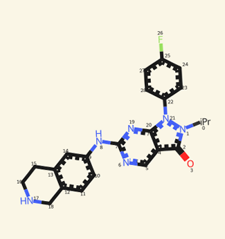 CC(C)n1c(=O)c2cnc(Nc3ccc4c(c3)CCNC4)nc2n1-c1ccc(F)cc1